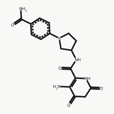 NC(=O)c1ccc(N2CCC(NC(=O)C3=C(N)C(=O)CC(=O)N3)C2)cc1